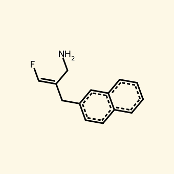 NC/C(=C\F)Cc1ccc2ccccc2c1